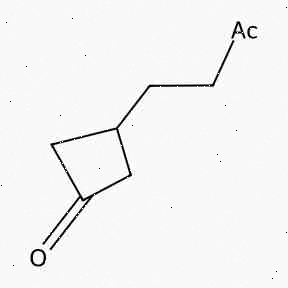 CC(=O)CCC1CC(=O)C1